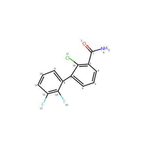 NC(=O)c1[c]ccc(-c2cccc(F)c2F)c1Cl